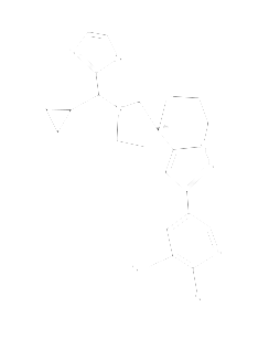 N#Cc1cc(-c2cc3n(n2)CCO[C@@]32CCN(C(c3ncc[nH]3)C3CC3)C2)cnc1N